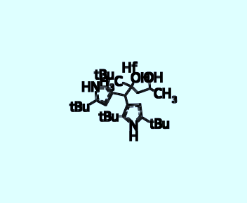 CC(O)CC(C)(O)C(c1cc(C(C)(C)C)[nH]c1C(C)(C)C)c1cc(C(C)(C)C)[nH]c1C(C)(C)C.[Hf]